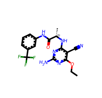 CCOc1nc(N)nc(N[C@@H](C)C(=O)Nc2cccc(C(F)(F)F)c2)c1C#N